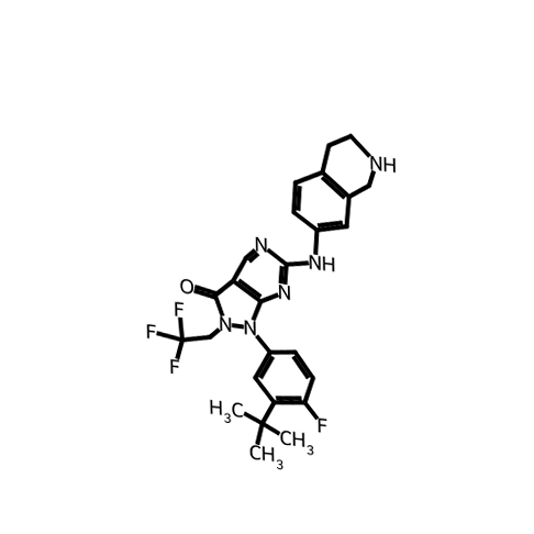 CC(C)(C)c1cc(-n2c3nc(Nc4ccc5c(c4)CNCC5)ncc3c(=O)n2CC(F)(F)F)ccc1F